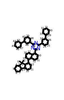 CC1(C)c2ccccc2-c2cccc(-c3cccc4c(-c5nc(-c6cccc(-c7ccccc7)c6)nc(-c6cccc(-c7ccccc7)c6)n5)cccc34)c21